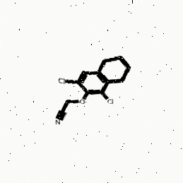 N#CCOc1c(Cl)cc2c(c1Cl)CCCC2